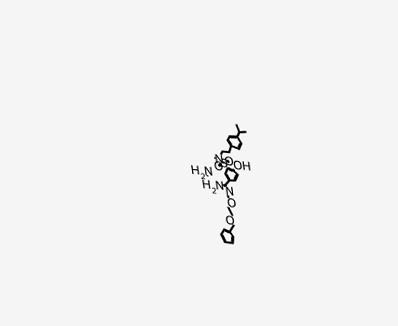 CC(C)c1ccc(CCN(C)S(=O)(=O)c2cc(C(N)=NCOCCOCc3ccccc3)ccc2O)cc1.CN